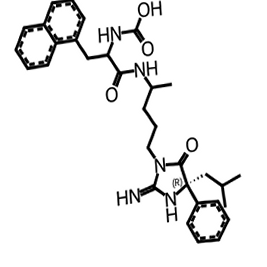 CC(C)C[C@]1(c2ccccc2)NC(=N)N(CCCC(C)NC(=O)C(Cc2cccc3ccccc23)NC(=O)O)C1=O